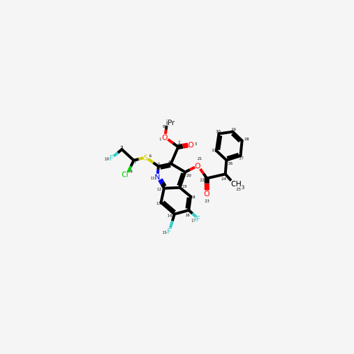 CC(C)OC(=O)c1c(SC(Cl)CF)nc2cc(F)c(F)cc2c1OC(=O)C(C)c1ccccc1